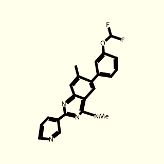 CNc1nc(-c2cccnc2)nc2cc(C)c(-c3cccc(OC(F)F)c3)cc12